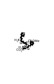 COc1ccc(C[C@@H](NC(=O)/C=C/C[C@H](O)[C@H](C)/C=C/c2ccncc2)C(=O)NC[C@@H](C)C(=O)O)cc1Cl